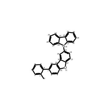 Cc1ccccc1-c1ccc2oc3ccc(-n4c5ccccc5c5ccccc54)cc3c2c1